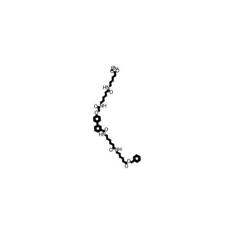 CC(C)(C)OC(=O)CCCCCNC(=O)CCCCCNC(=O)COc1ccc(-c2cccc(C(=O)NCCCCCC(=O)NCCCCCC(=O)OCc3ccccc3)c2)cc1